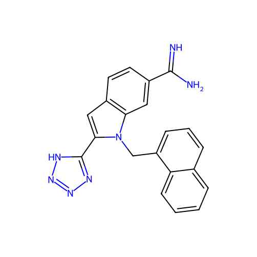 N=C(N)c1ccc2cc(-c3nnn[nH]3)n(Cc3cccc4ccccc34)c2c1